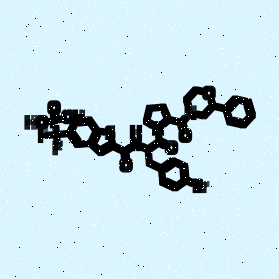 O=C(NC(Cc1ccc(Br)cc1)C(=O)N1CCCC1C(=O)N1CCOC(c2ccccc2)C1)c1cc2cc(C(F)(F)P(=O)(O)O)ccc2s1